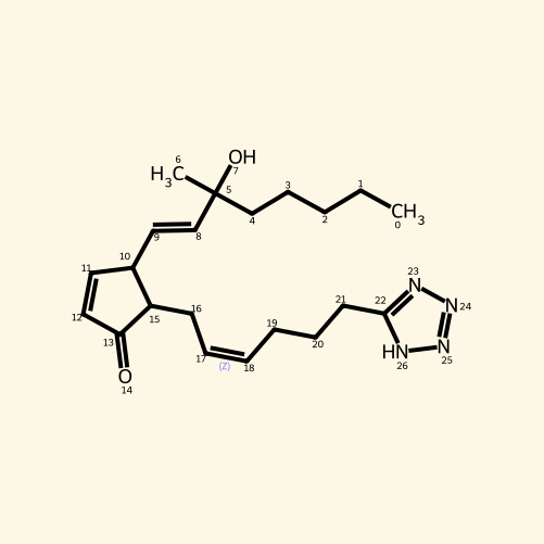 CCCCCC(C)(O)C=CC1C=CC(=O)C1C/C=C\CCCc1nnn[nH]1